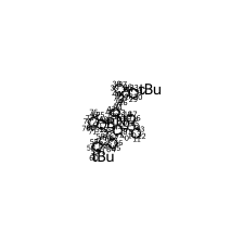 Cc1cc2c3c4c1C1(C)c5ccccc5-c5cccc(c51)N4c1cc(CCC4c5ccc(C(C)(C)C)cc5C5(C)CCCCC45C)ccc1B3c1cc3c(cc1C2CCc1ccc(C(C)(C)C)cc1-c1ccccc1)C(C)(C)CCC3(C)C